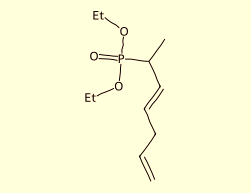 C=CC/C=C/C(C)P(=O)(OCC)OCC